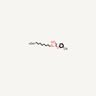 CCCCCCCCCCCCCCCCCCOC[C@H](CO)Oc1cccc(C#N)c1